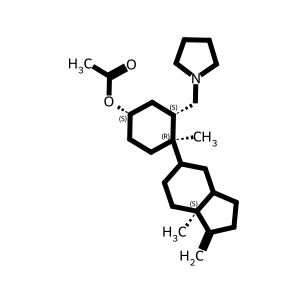 C=C1CCC2CC([C@@]3(C)CC[C@H](OC(C)=O)C[C@@H]3CN3CCCC3)CC[C@]12C